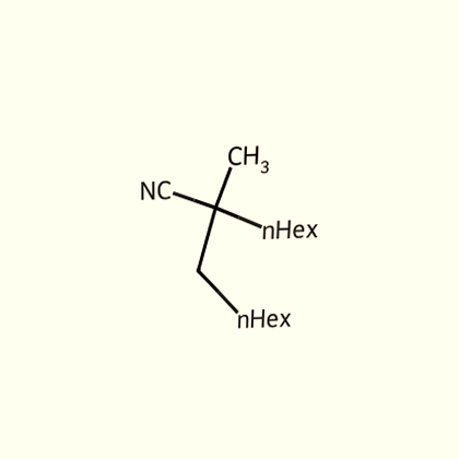 CCCCCCCC(C)(C#N)CCCCCC